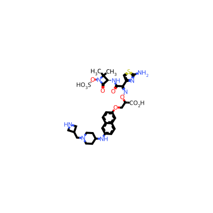 CC1(C)[C@H](NC(=O)/C(=N\OC(COc2ccc3cc(NC4CCN(CC5CNC5)CC4)ccc3c2)C(=O)O)c2csc(N)n2)C(=O)N1OS(=O)(=O)O